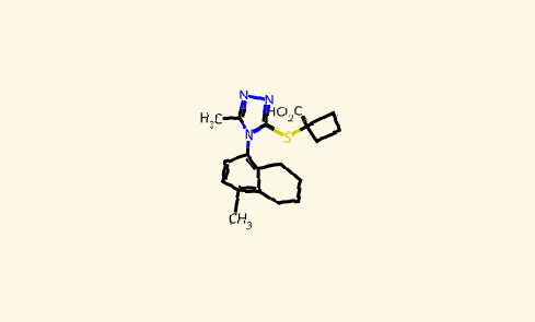 Cc1ccc(-n2c(C)nnc2SC2(C(=O)O)CCC2)c2c1CCCC2